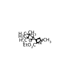 CCOC(=O)c1nn(C)cc1B1OC(C)(C)C(C)(C)O1